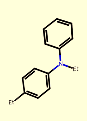 CCc1ccc(N(CC)c2ccccc2)cc1